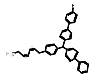 CC/C=C\C=C/Cc1ccc(C(c2ccc(-c3ccccc3)cc2)c2ccc(-c3ccc(F)cc3)cc2)cc1